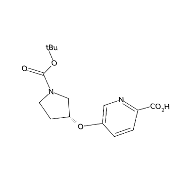 CC(C)(C)OC(=O)N1CC[C@@H](Oc2ccc(C(=O)O)nc2)C1